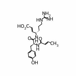 C/C=C/C(=O)N[C@@H](Cc1ccc(O)cc1)C(=O)N[C@H](/C=C/C(=O)O)CCCNC(=N)N